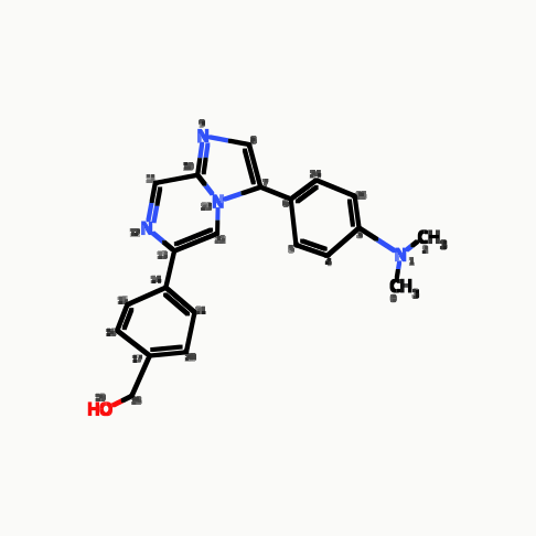 CN(C)c1ccc(-c2cnc3cnc(-c4ccc(CO)cc4)cn23)cc1